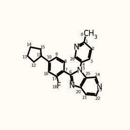 Cc1ccc(-n2c(-c3ccc(C4CCCC4)cc3F)nc3ccncc32)cn1